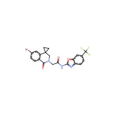 O=C(CN1CC2(CC2)c2cc(Br)ccc2C1=O)Nc1nc2ccc(C(F)(F)F)cc2o1